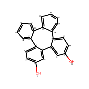 Oc1ccc2c(c1)-c1cc(O)ccc1-c1ccccc1-c1ccccc1-2